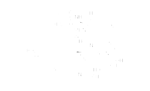 CCc1nc2ccc(OCCCOC)cc2c2c1O[C@]1(CC2)C[C@H]2C(=O)N[C@]3(C(=O)NS(=O)(=O)C4(C)CC4)C[C@H]3/C=C\CCCCC[C@H](N(CC(C)C)C(=O)O)C(=O)N2C1